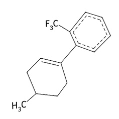 CC1CC=C(c2ccccc2C(F)(F)F)CC1